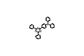 c1ccc(B(c2ccccc2)c2ccc(-c3nc(-c4ccccc4)nc(-c4ccccc4)n3)cc2)cc1